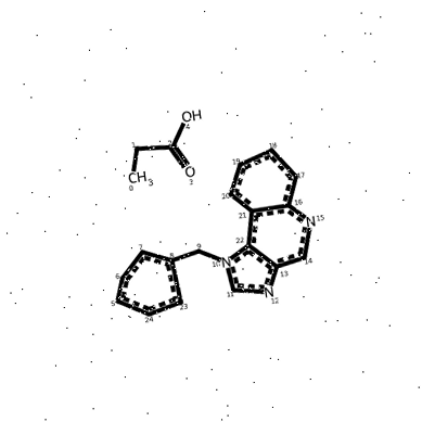 CCC(=O)O.c1ccc(Cn2cnc3cnc4ccccc4c32)cc1